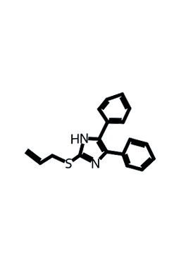 C=CCSc1nc(-c2ccccc2)c(-c2ccccc2)[nH]1